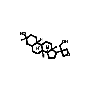 C[C@@]1(O)CC[C@H]2C(CC[C@@H]3[C@@H]2CC[C@]2(C)[C@@H](C4(CO)COC4)CC[C@@H]32)C1